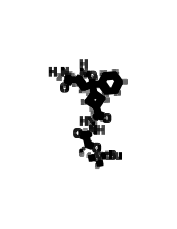 C[C@@H](O[Si](C)(C)C(C)(C)C)C(=O)NNC(=O)C1CC(C2(c3ccccc3)C=C(C(N)=O)NO2)C1